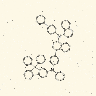 c1ccc(-c2ccc(N(c3cccc4ccccc34)c3ccc(-c4ccc(N(c5ccccc5)c5ccc6c(c5)C(c5ccccc5)(c5ccccc5)c5ccccc5-6)cc4)c4ccccc34)cc2)cc1